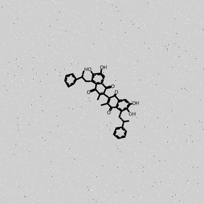 CC1=C(C2=C(C)C(=O)c3c(cc(O)c(O)c3CC(C)c3ccccc3)C2=O)C(=O)c2cc(O)c(O)c(CC(C)c3ccccc3)c2C1=O